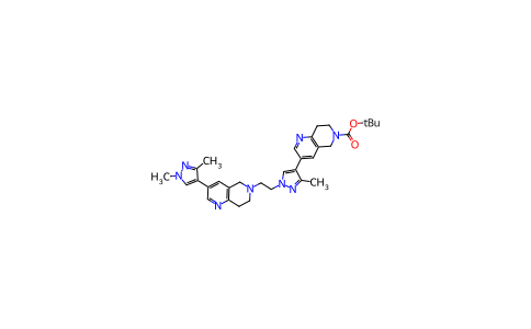 Cc1nn(C)cc1-c1cnc2c(c1)CN(CCn1cc(-c3cnc4c(c3)CN(C(=O)OC(C)(C)C)CC4)c(C)n1)CC2